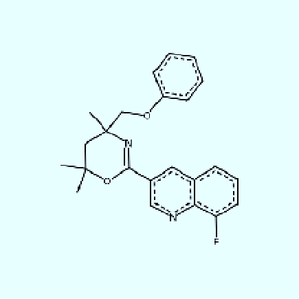 CC1(COc2ccccc2)CC(C)(C)OC(c2cnc3c(F)cccc3c2)=N1